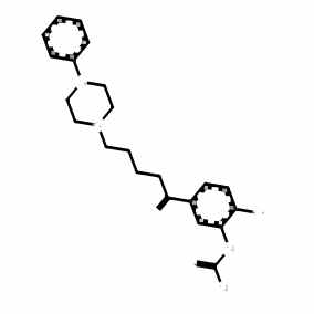 NC(=S)Nc1cc(C(=O)CCCCN2CCN(c3ccccc3)CC2)ccc1O